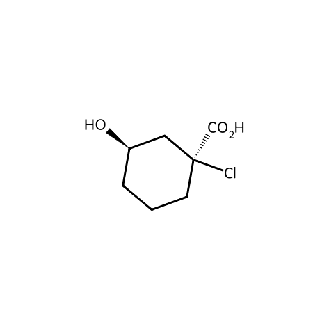 O=C(O)[C@]1(Cl)CCC[C@@H](O)C1